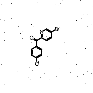 O=C(c1ccc(Cl)cc1)c1ccc(Br)cn1